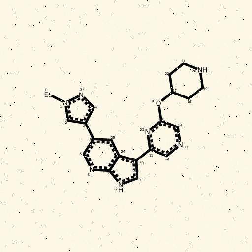 CCn1cc(-c2cnc3[nH]cc(-c4cncc(OC5CCNCC5)n4)c3c2)cn1